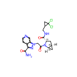 NC(=O)c1nn(CC(=O)N2[C@@H]3C[C@@H]3C[C@H]2C(=O)NCC2CC2(Cl)Cl)c2cnccc12